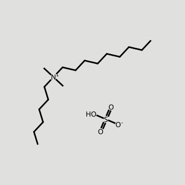 CCCCCCCCC[N+](C)(C)CCCCCC.O=S(=O)([O-])O